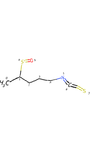 CC(CCCN=C=S)[S+]=O